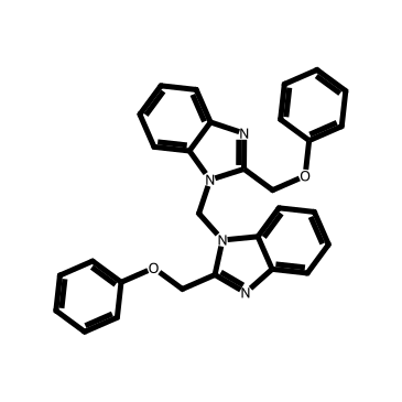 c1ccc(OCc2nc3ccccc3n2Cn2c(COc3ccccc3)nc3ccccc32)cc1